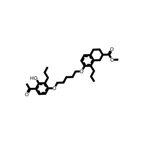 CCCc1c(OCCCCCOc2ccc3c(c2CCC)CC(C(=O)OC)CC3)ccc(C(C)=O)c1O